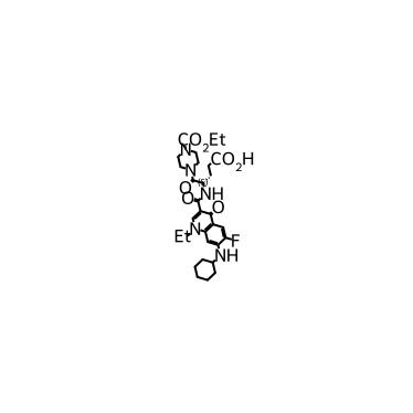 CCOC(=O)N1CCN(C(=O)[C@H](CCC(=O)O)NC(=O)c2cn(CC)c3cc(NC4CCCCC4)c(F)cc3c2=O)CC1